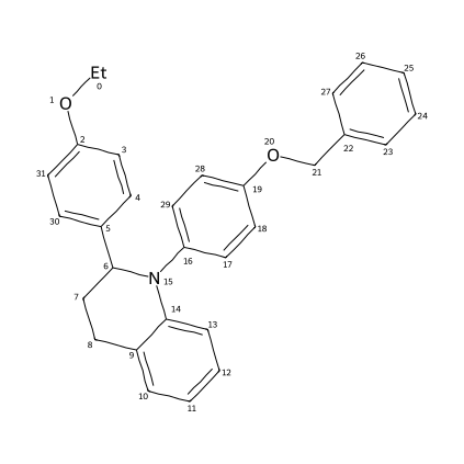 CCOc1ccc(C2CCc3ccccc3N2c2ccc(OCc3ccccc3)cc2)cc1